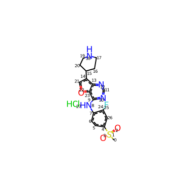 CS(=O)(=O)c1ccc(Nc2ncnc3c(C4CCNCC4)coc23)c(F)c1.Cl